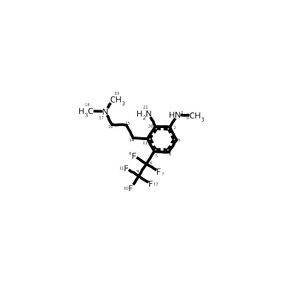 CNc1ccc(C(F)(F)C(F)(F)F)c(CCCN(C)C)c1N